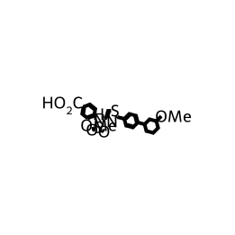 COc1cc(C(=O)O)ccc1N(c1csc(-c2ccc(C3CCCC(OC)C3)cc2)n1)[SH](=O)=O